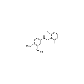 COc1ccc(NCc2c(F)cccc2F)cc1OC(C)C